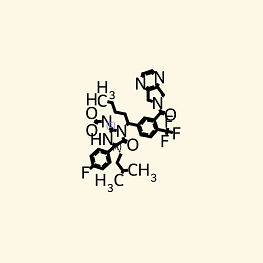 CCCCC(c1ccc(C(F)(F)F)c(C(=O)N2Cc3nccnc3C2)c1)N1C(=O)[C@@](CCC(C)C)(c2ccc(F)cc2)N/C1=N\C(=O)O